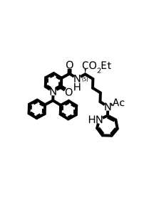 CCOC(=O)[C@H](CCCCN(C(C)=O)C1=CC=CC=CN1)NC(=O)c1cccn(C(c2ccccc2)c2ccccc2)c1=O